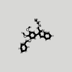 COc1cc(-c2cc3ccccc3nc2CN=[N+]=[N-])cc(OCc2ccccc2)c1OC